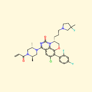 C=CC(=O)N1C[C@H](C)N(c2nc(=O)n3c4c(c(-c5ccc(F)cc5F)c(Cl)cc24)OC[C@H]3CCCN2CCC(C)(F)C2)C[C@H]1C